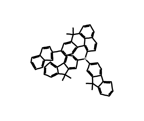 CC1(C)c2ccccc2-c2ccc(N(c3ccc4c(c3)C(C)(C)c3ccccc3-4)c3ccc4cccc5c4c3-c3ccc(-c4ccc6ccccc6c4)cc3C5(C)C)cc21